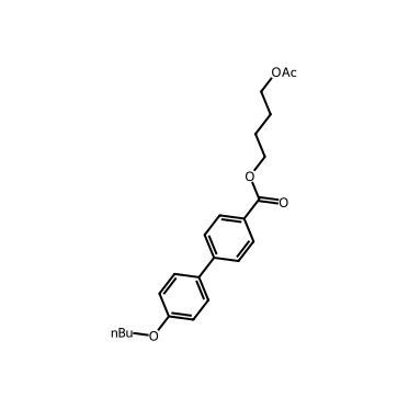 CCCCOc1ccc(-c2ccc(C(=O)OCCCCOC(C)=O)cc2)cc1